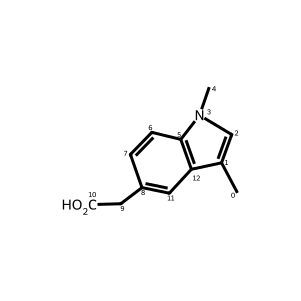 Cc1cn(C)c2ccc(CC(=O)O)cc12